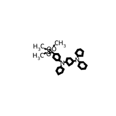 CCO[Si](OCC)(OCC)c1ccc(N(c2ccccc2)c2ccc(N(c3ccccc3)c3ccccc3)cc2)cc1